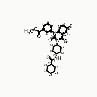 COC(=O)c1cccc(-n2c(=O)n([C@H]3CC[C@@H](NC(=O)C4CCCCC4)CC3)c(=O)c3cc(F)cnc32)c1